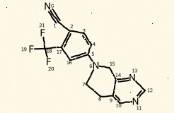 N#Cc1ccc(N2CCc3cncnc3C2)cc1C(F)(F)F